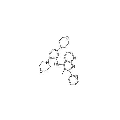 Cc1c(-c2ccccn2)nc2ncccc2c1Nc1cc(N2CCOCC2)ccc1N1CCOCC1